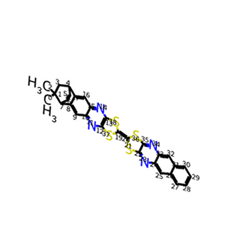 CC1(C)CC2C=CC1c1cc3nc4c(nc3cc12)SC(=C1Sc2nc3cc5ccccc5cc3nc2S1)S4